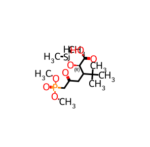 COP(=O)(CC(=O)CC([C@@H](O[SiH](C)C)C(=O)O)C(C)(C)C)OC